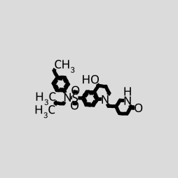 CCc1ccc(N(CC(C)C)S(=O)(=O)c2ccc3c(c2)C(O)CCN3CC2CCC(=O)NC2)cc1